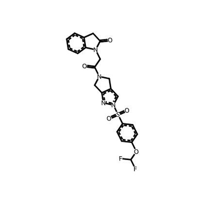 O=C(CN1C(=O)Cc2ccccc21)N1Cc2cn(S(=O)(=O)c3ccc(OC(F)F)cc3)nc2C1